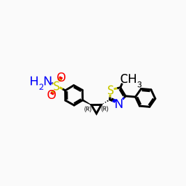 Cc1sc([C@@H]2C[C@H]2c2ccc(S(N)(=O)=O)cc2)nc1-c1ccccc1